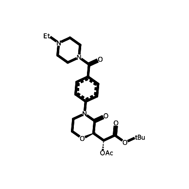 CCN1CCN(C(=O)c2ccc(N3CCO[C@H]([C@@H](OC(C)=O)C(=O)OC(C)(C)C)C3=O)cc2)CC1